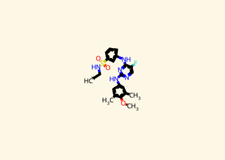 C#CCNS(=O)(=O)c1cccc(Nc2nc(Nc3cc(C)c(OC)c(C)c3)ncc2F)c1